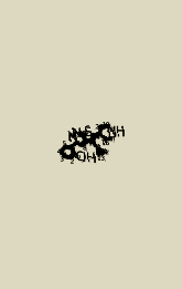 Oc1ccccc1-c1cc2c(C3CC3)c(C3CCNCC3)sc2nn1